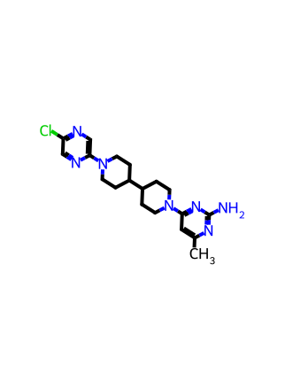 Cc1cc(N2CCC(C3CCN(c4cnc(Cl)cn4)CC3)CC2)nc(N)n1